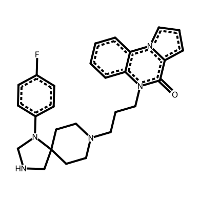 O=c1c2cccn2c2ccccc2n1CCCN1CCC2(CC1)CNCN2c1ccc(F)cc1